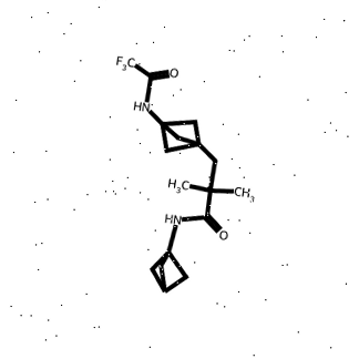 CC(C)(CC12CC(NC(=O)C(F)(F)F)(C1)C2)C(=O)NC12CC(C1)C2